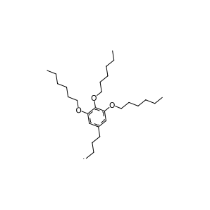 [CH2]CCCc1cc(OCCCCCC)c(OCCCCCC)c(OCCCCCC)c1